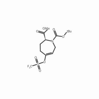 COC(=O)[C@@H]1CCC(OS(=O)(=O)C(F)(F)F)=CCN1C(=O)OC(C)(C)C